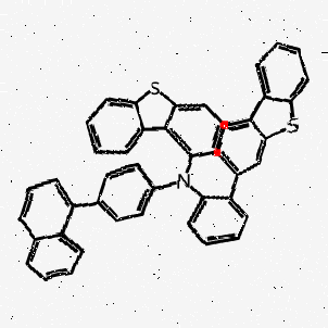 c1ccc(N(c2ccc(-c3cccc4ccccc34)cc2)c2cccc3sc4ccccc4c23)c(-c2ccc3c(c2)sc2ccccc23)c1